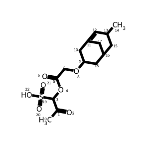 CC(=O)C(OC(=O)COC1CC2=CC(C)CC(C2)C1)S(=O)(=O)O